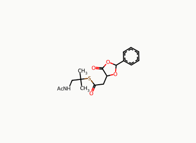 CC(=O)NCC(C)(C)SC(=O)CC1OC(c2ccccc2)OC1=O